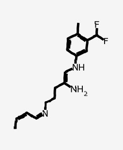 C/C=C\C=N/CCC/C(N)=C/Nc1ccc(C)c(C(F)F)c1